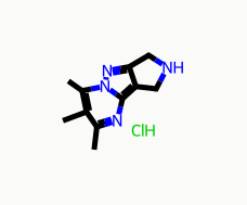 Cc1nc2c3c(nn2c(C)c1C)CNC3.Cl